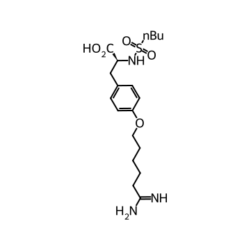 CCCCS(=O)(=O)N[C@@H](Cc1ccc(OCCCCCC(=N)N)cc1)C(=O)O